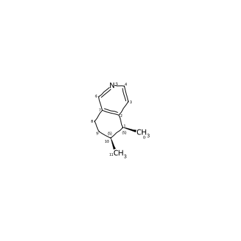 C[C@@H]1c2ccncc2CC[C@@H]1C